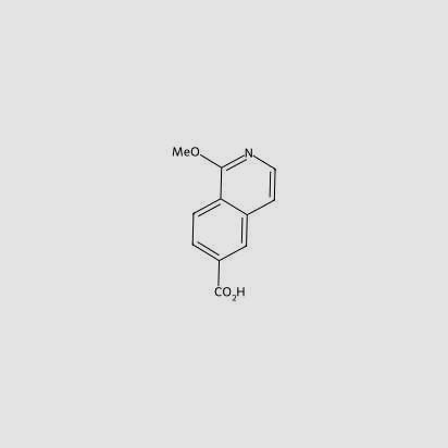 COc1nccc2cc(C(=O)O)ccc12